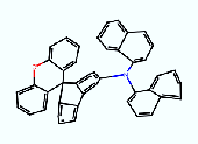 c1ccc2c(c1)Oc1ccccc1C21c2ccccc2-c2cc(N(c3cccc4ccccc34)c3cccc4ccccc34)ccc21